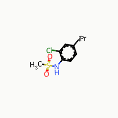 CC(C)c1ccc(NS(C)(=O)=O)c(Cl)c1